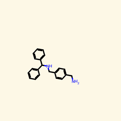 NCc1ccc(CNC(c2ccccc2)c2ccccc2)cc1